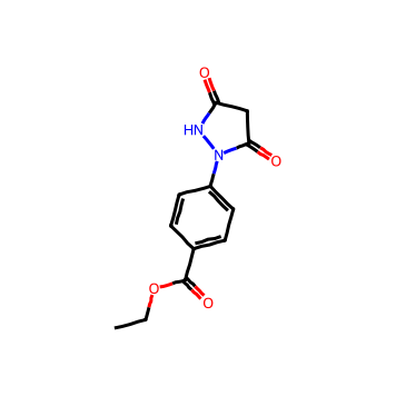 CCOC(=O)c1ccc(N2NC(=O)CC2=O)cc1